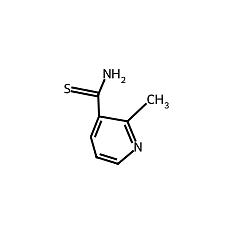 Cc1ncccc1C(N)=S